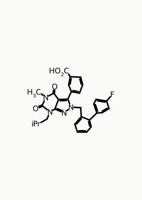 CC(C)Cn1c(=O)n(C)c(=O)c2c(-c3cccc(C(=O)O)c3)n(Cc3ccccc3-c3ccc(F)cc3)nc21